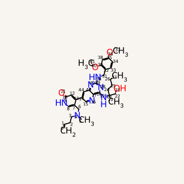 C=CCCN(C)Cc1c[nH]c(=O)cc1-c1cnc2c(NC(C)(CO)CCCC)nc(NCc3ccc(OC)cc3OC)nc2c1